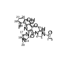 C=CC(=O)N1CCN2C(=O)c3c(N4CC5C[C@@]4(C)CN5C)nc(-c4c(O)cccc4F)c(Cl)c3OC[C@H]2C1